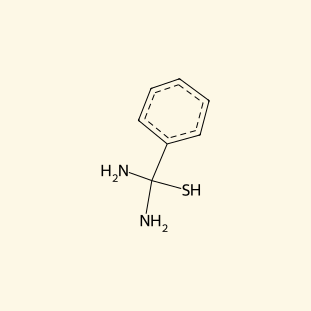 NC(N)(S)c1ccccc1